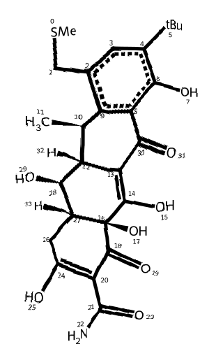 CSCc1cc(C(C)(C)C)c(O)c2c1[C@H](C)[C@@H]1C(=C(O)[C@]3(O)C(=O)C(C(N)=O)=C(O)C[C@@H]3[C@H]1O)C2=O